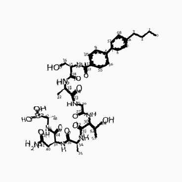 CCCCc1ccc(-c2ccc(C(=O)N[C@H](CO)C(=O)N[C@H](C)C(=O)NCC(=O)NC(C(=O)N[C@@H](C)C(=O)N[C@@H](CC(N)=O)C(=O)N[C@@H](C)B(O)O)C(C)O)cc2)cc1